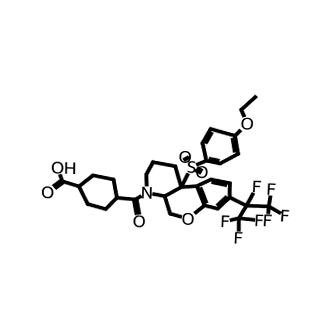 CCOc1ccc(S(=O)(=O)C23CCCN(C(=O)C4CCC(C(=O)O)CC4)C2COc2cc(C(F)(C(F)(F)F)C(F)(F)F)ccc23)cc1